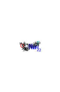 C=C(C(=O)CC)C1CC/C(CN(N)/C=C(\N)c2ccc(F)cc2)=C\CCC(C)C(C)C1